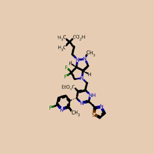 CCOC(=O)C1=C(CN2CC(F)(F)[C@H]3[C@@H]2CN(C)N3CCC(C)(C)C(=O)O)NC(c2nccs2)=N[C@@H]1c1ccc(F)nc1C